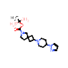 BC(B)(C)OC(=O)N1CCC2(CC(N3CCC(n4cccn4)CC3)C2)C1